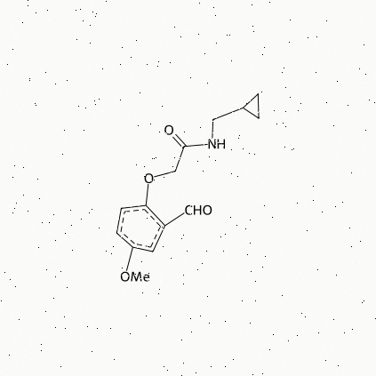 COc1ccc(OCC(=O)NCC2CC2)c(C=O)c1